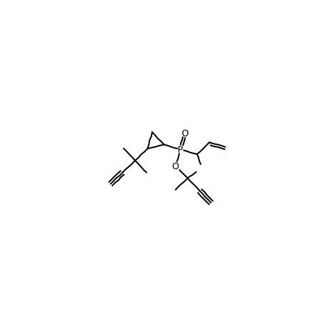 C#CC(C)(C)OP(=O)(C(C)C=C)C1CC1C(C)(C)C#C